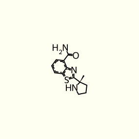 C[C@@]1(c2nc3c(C(N)=O)cccc3s2)CCCN1